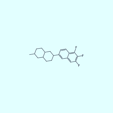 CC1CCC2CC(c3ccc4c(F)c(F)c(F)cc4c3)CCC2C1